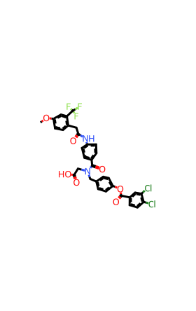 COc1ccc(CC(=O)Nc2ccc(C(=O)N(CC(=O)O)Cc3ccc(OC(=O)c4ccc(Cl)c(Cl)c4)cc3)cc2)c(C(F)(F)F)c1